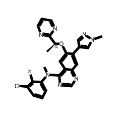 C[C@H](Oc1cc2c(N(C)c3cccc(Cl)c3F)ncnc2cc1-c1cnn(C)c1)c1ncccn1